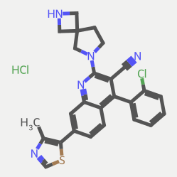 Cc1ncsc1-c1ccc2c(-c3ccccc3Cl)c(C#N)c(N3CCC4(CNC4)C3)nc2c1.Cl